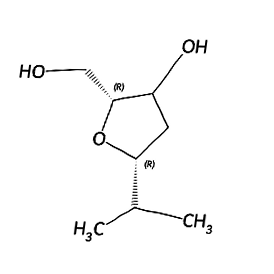 CC(C)[C@H]1CC(O)[C@@H](CO)O1